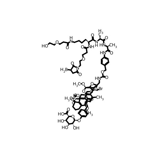 BC1CC(=O)N(CCOCCC(=O)N[C@@H](CCCCNC(=O)CCOCCO)C(=O)N[C@@H](C)C(=O)N[C@@H](C)C(=O)Nc2ccc(COC(=O)NCC34OC5c6c(C)cc7c(OC)c8c(c(O)c7c6O[C@](OC)(C5O3)[C@]4(CBr)OCN(CCS(C)(=O)=O)C(=O)OCc3ccc(O[C@@H]4O[C@H](C(=O)O)[C@@H](O)[C@H](O)[C@H]4O)cc3)C(=O)CCC8)cc2)C1=O